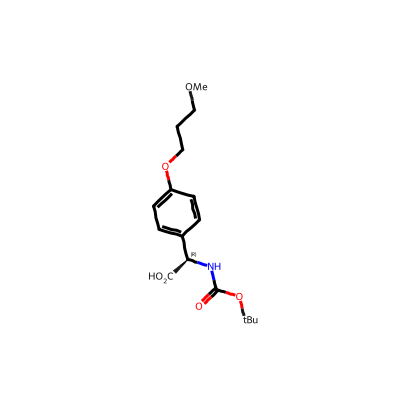 COCCCOc1ccc([C@@H](NC(=O)OC(C)(C)C)C(=O)O)cc1